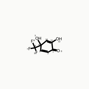 O=C1C=CC(O)(C(F)(F)F)C=C1O